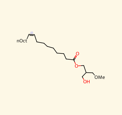 CCCCCCCC/C=C\CCCCCCCC(=O)OCC(CO)COC